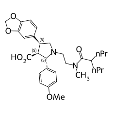 CCCC(CCC)C(=O)N(C)CCN1C[C@H](c2ccc3c(c2)OCO3)[C@H](C(=O)O)[C@H]1c1ccc(OC)cc1